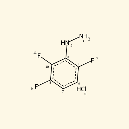 Cl.NNc1c(F)ccc(F)c1F